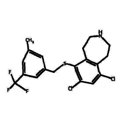 Cc1cc(CSc2c(Cl)cc(Cl)c3c2CCNCC3)cc(C(F)(F)F)c1